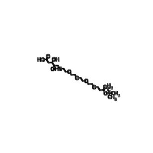 CC(C)(C)OC(=O)CCOCCOCCOCCOCCNCC(=O)C(O)CC(=O)O